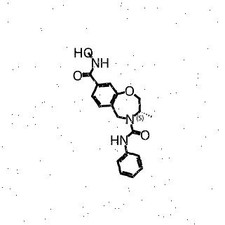 C[C@H]1COc2cc(C(=O)NO)ccc2CN1C(=O)Nc1ccccc1